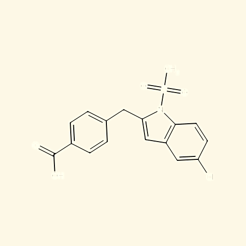 CS(=O)(=O)n1c(Cc2ccc(C(=O)O)cc2)cc2cc(Cl)ccc21